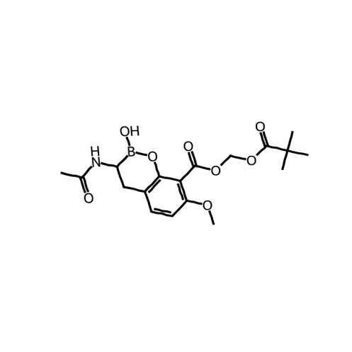 COc1ccc2c(c1C(=O)OCOC(=O)C(C)(C)C)OB(O)C(NC(C)=O)C2